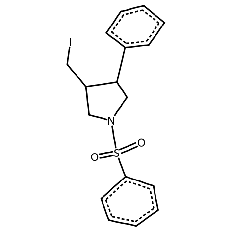 O=S(=O)(c1ccccc1)N1CC(CI)C(c2ccccc2)C1